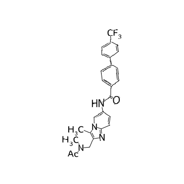 CC(=O)N(C)Cc1nc2ccc(NC(=O)c3ccc(-c4ccc(C(F)(F)F)cc4)cc3)cn2c1C